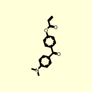 C=CC(=O)Oc1ccc(C(=O)c2ccc(N(C)C)cc2)cc1